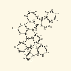 Cc1cc2c3c(c1)N1c4ccccc4[Si]4(c5ccccc5-c5ccccc54)c4cccc(c41)B3n1c3ccc4ccccc4c3c3cccc-2c31